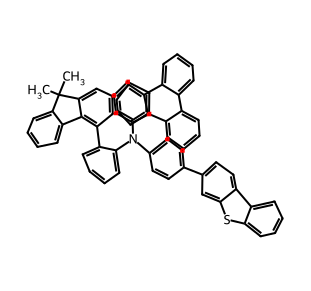 CC1(C)c2ccccc2-c2c(-c3ccccc3N(c3ccc(-c4ccc5c(c4)sc4ccccc45)cc3)c3ccccc3-c3ccccc3-c3ccccc3-c3ccccc3)cccc21